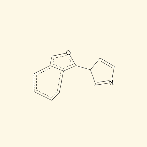 [C]1=NC=CC1c1occ2ccccc12